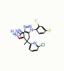 Cn1cc(C(C)(Cc2c(C(N)=O)nnn2-c2ccc(F)cc2F)c2cccc(Cl)n2)cn1